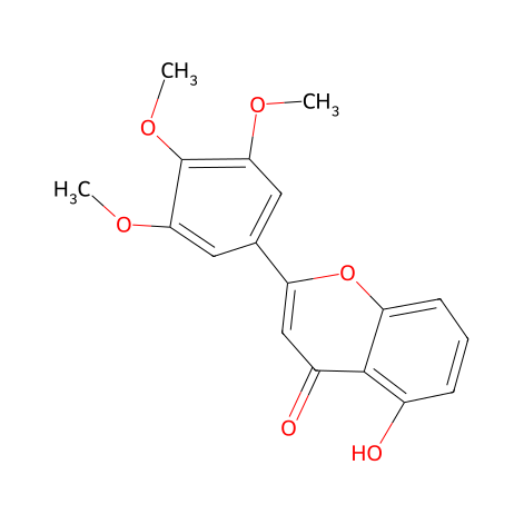 COc1cc(-c2cc(=O)c3c(O)cccc3o2)cc(OC)c1OC